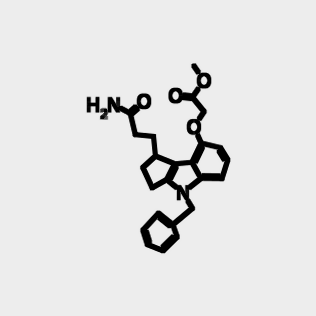 COC(=O)COc1cccc2c1c1c(n2Cc2ccccc2)CCC1CCC(N)=O